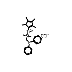 CC1=C(C)C(C)[C]([Ti+2][Si](C)(C)CP(c2ccccc2)c2ccccc2)=C1C.[Cl-].[Cl-]